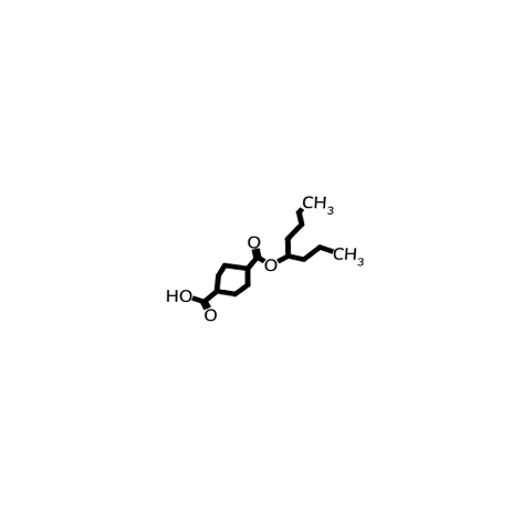 CCCCC(CCC)OC(=O)C1CCC(C(=O)O)CC1